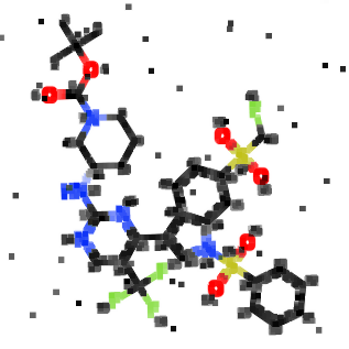 CC(C)(C)OC(=O)N1CCC[C@H](Nc2ncc(C(F)(F)F)c(-c3cn(S(=O)(=O)c4ccccc4)c4cc(S(=O)(=O)CF)ccc34)n2)C1